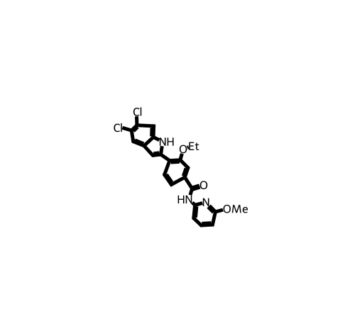 CCOc1cc(C(=O)Nc2cccc(OC)n2)ccc1-c1cc2cc(Cl)c(Cl)cc2[nH]1